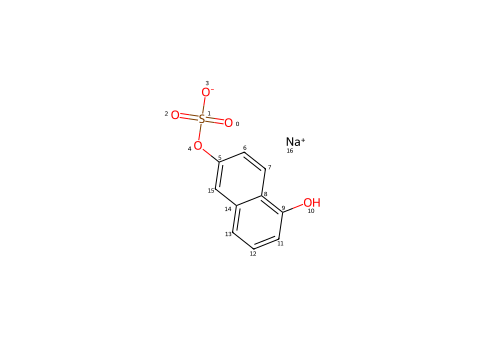 O=S(=O)([O-])Oc1ccc2c(O)cccc2c1.[Na+]